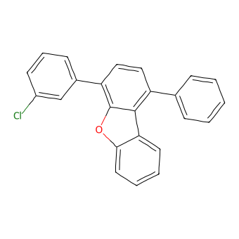 Clc1cccc(-c2ccc(-c3ccccc3)c3c2oc2ccccc23)c1